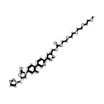 COCCOCCOCCOCCOC(=O)OCC1CC(c2ccc(-c3ccc(N4C[C@H](Cn5ccnn5)OC4=O)cc3F)cn2)=NO1